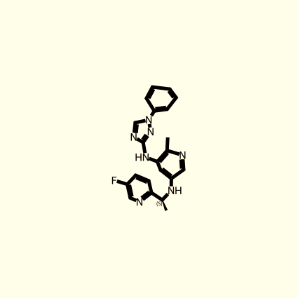 Cc1ncc(N[C@@H](C)c2ccc(F)cn2)cc1Nc1ncn(-c2ccccc2)n1